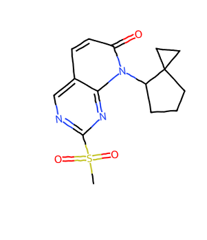 CS(=O)(=O)c1ncc2ccc(=O)n(C3CCCC34CC4)c2n1